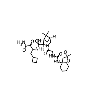 CC1(C)[C@@H]2C[C@H]1[C@@H](C(=O)NC(CC1CCC1)C(=O)C(N)=O)N(C(=O)CNC(=O)NC1(CS(C)(=O)=O)CCCCC1)C2